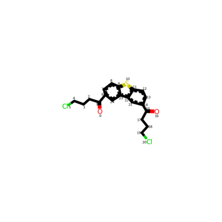 O=C(CCCCl)c1ccc2sc3ccc(C(=O)CCCCl)cc3c2c1